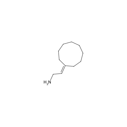 NCC=C1CCCCCCCC1